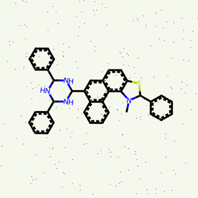 CN1c2c(ccc3cc(C4NC(c5ccccc5)NC(c5ccccc5)N4)c4ccccc4c23)SC1c1ccccc1